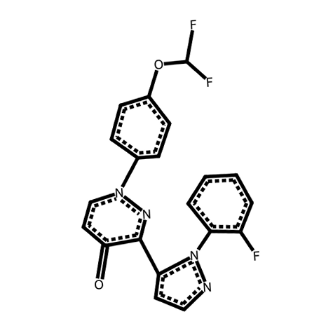 O=c1ccn(-c2ccc(OC(F)F)cc2)nc1-c1ccnn1-c1ccccc1F